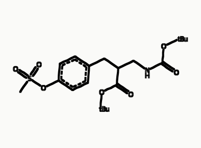 CC(C)(C)OC(=O)NCC(Cc1ccc(OS(C)(=O)=O)cc1)C(=O)OC(C)(C)C